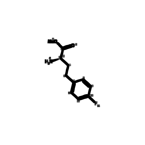 COC(=O)[C@@H](N)CCc1ccc(F)cc1